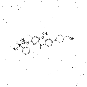 COc1cc(N2CCC(CO)CC2)ccc1Nc1ncc(Cl)c(Nc2ccccc2P(C)(C)=O)n1